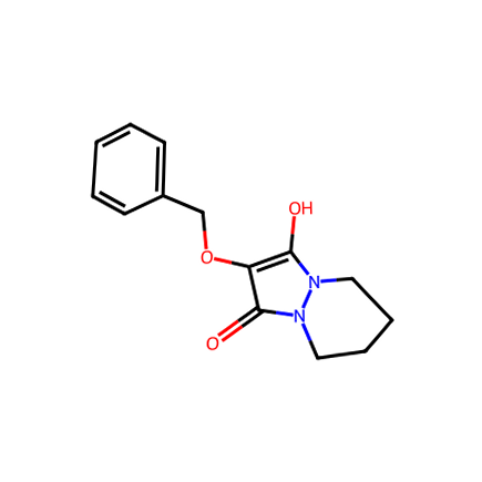 O=c1c(OCc2ccccc2)c(O)n2n1CCCC2